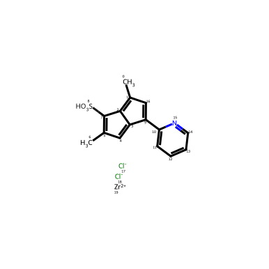 CC1=C2C(=CC(C)=C2S(=O)(=O)O)C(c2ccccn2)=C1.[Cl-].[Cl-].[Zr+2]